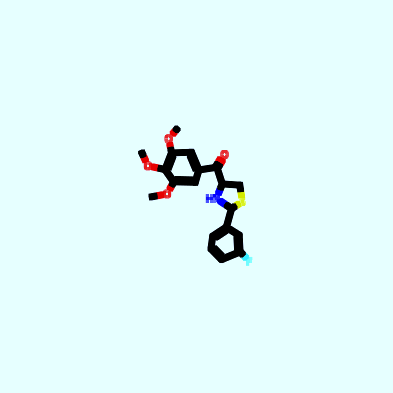 COc1cc(C(=O)C2CSC(c3cccc(F)c3)N2)cc(OC)c1OC